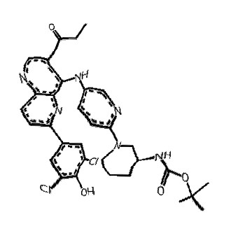 CCC(=O)c1cnc2ccc(-c3cc(Cl)c(O)c(Cl)c3)nc2c1Nc1ccc(N2CCC[C@H](NC(=O)OC(C)(C)C)C2)nc1